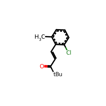 Cc1cccc(Cl)c1/C=C/C(=O)C(C)(C)C